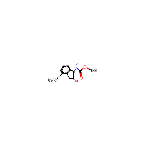 CCOC(=O)c1cccc2c1C[C@@H](O)[C@@H]2NC(=O)OC(C)(C)C